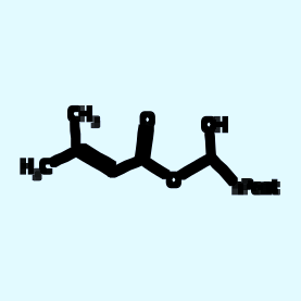 CCCCCC(O)OC(=O)C=C(C)C